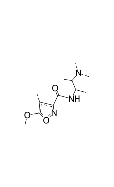 COc1onc(C(=O)NC(C)C(C)N(C)C)c1C